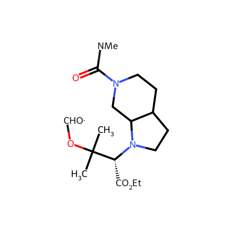 CCOC(=O)[C@@H](N1CCC2CCN(C(=O)NC)CC21)C(C)(C)O[C]=O